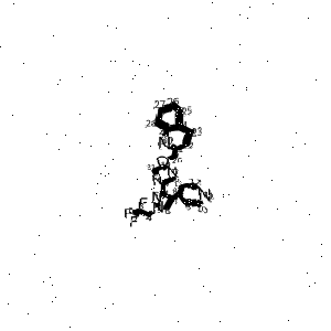 FC(F)(F)Cn1cc(-c2ccncc2)c(-c2cnc(OCc3ccc4ccccc4n3)cn2)n1